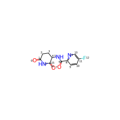 O=C1CCC(NC(=O)c2ccc(F)cn2)C(=O)N1